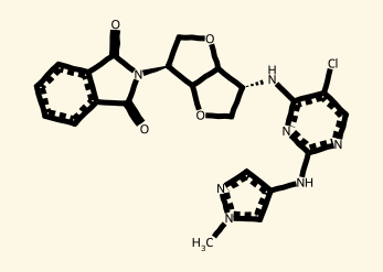 Cn1cc(Nc2ncc(Cl)c(N[C@@H]3COC4C3OC[C@@H]4N3C(=O)c4ccccc4C3=O)n2)cn1